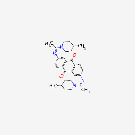 CC(=Nc1ccc2c(c1)C(=O)c1ccc(N=C(C)N3CCC(C)CC3)cc1C2=O)N1CCC(C)CC1